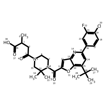 CC(CC(=O)N1CCN(C(=O)c2cc3nc(-c4ccc(Cl)c(F)c4)cc(C(C)(C)C)c3o2)C(C)(C)C1)C(=O)O